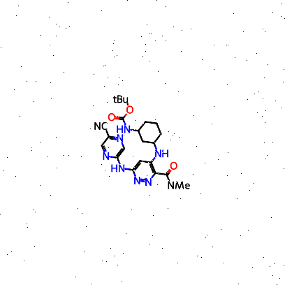 CNC(=O)c1nnc(Nc2cnc(C#N)cn2)cc1NC1CCCC(NC(=O)OC(C)(C)C)C1